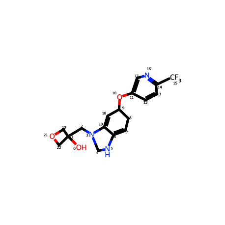 OC1(CN2CNC3=CCC(Oc4ccc(C(F)(F)F)nc4)C=C32)COC1